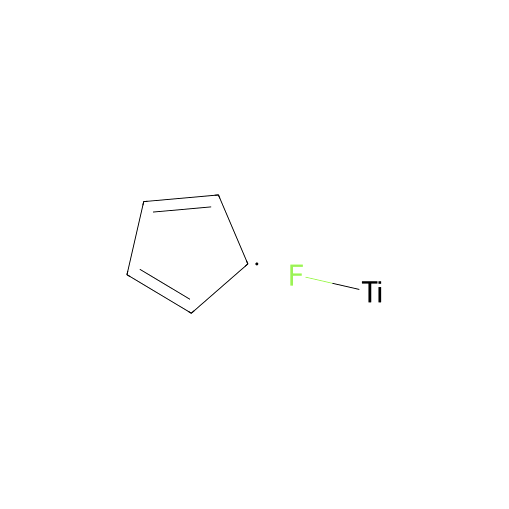 [CH]1C=CC=C1.[F][Ti]